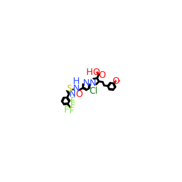 COc1cccc(CCC2CN(c3ncc(C(=O)Nc4nc(-c5cccc(C(F)(F)F)c5F)cs4)cc3Cl)CC2C(=O)O)c1